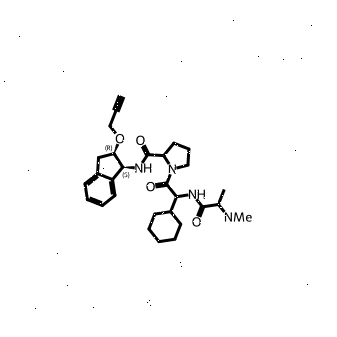 C#CCO[C@@H]1Cc2ccccc2[C@@H]1NC(=O)C1CCCN1C(=O)C(NC(=O)C(C)NC)C1CCCCC1